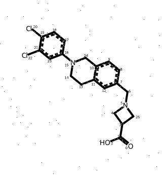 O=C(O)C1CN(Cc2ccc3c(c2)CCN(c2ccc(Cl)c(Cl)c2)C3)C1